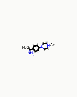 CC(=O)N1CCN(c2ccc(C(C)N)cc2)CC1